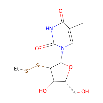 CCSSC1C(O)[C@@H](CO)O[C@H]1n1cc(C)c(=O)[nH]c1=O